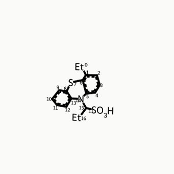 CCc1cccc2c1Sc1ccccc1N2C(CC)S(=O)(=O)O